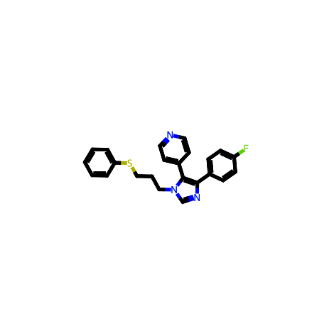 Fc1ccc(-c2ncn(CCCSc3ccccc3)c2-c2ccncc2)cc1